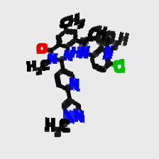 Cc1cc([C@@H](C)Nc2ccc(Cl)nc2C(=O)O)c2nc(-c3ccc(-c4cnn(C)c4)nc3)n(C)c(=O)c2c1